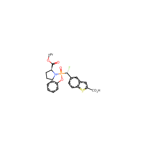 CCCOC(=O)[C@@H]1CCCN1P(=O)(Oc1ccccc1)[C@H](F)c1ccc2sc(C(=O)O)cc2c1